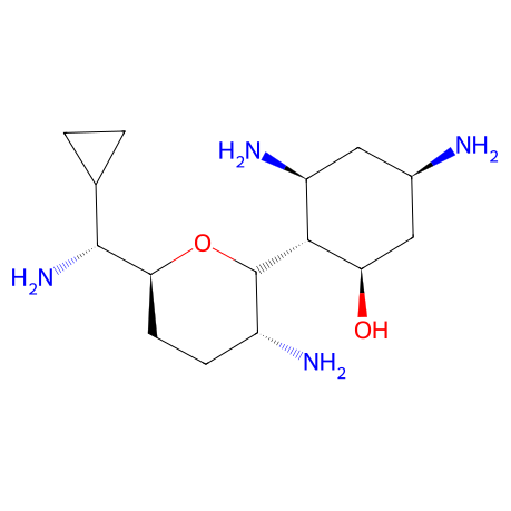 N[C@H]1C[C@@H](O)[C@H](C2O[C@H]([C@H](N)C3CC3)CC[C@H]2N)[C@@H](N)C1